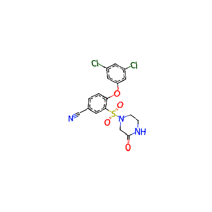 N#Cc1ccc(Oc2cc(Cl)cc(Cl)c2)c(S(=O)(=O)N2CCNC(=O)C2)c1